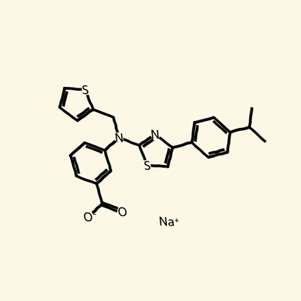 CC(C)c1ccc(-c2csc(N(Cc3cccs3)c3cccc(C(=O)[O-])c3)n2)cc1.[Na+]